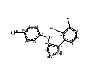 Fc1cccc(-c2[nH]ncc2Oc2ccc(Cl)cc2)c1F